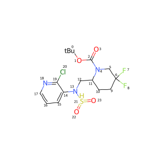 CC(C)(C)OC(=O)N1CC(F)(F)CCC1CN(c1cccnc1Cl)[SH](=O)=O